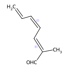 C=C/C=C\C=C(/C)C=O